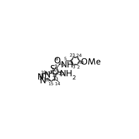 COc1ccc(CNC(=O)c2sc3c(c(C)cc4nncn43)c2N)cc1